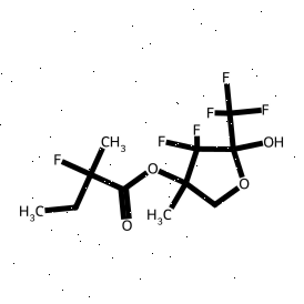 CCC(C)(F)C(=O)OC1(C)COC(O)(C(F)(F)F)C1(F)F